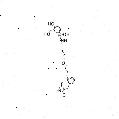 O=C1CNC(=O)N1Cc1cccc(CCCCOCCCCCCNC[C@H](O)c2ccc(O)c(CO)c2)c1